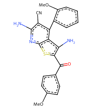 COc1ccc(C(=O)c2sc3nc(N)c(C#N)c(-c4ccccc4OC)c3c2N)cc1